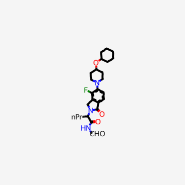 CCCC(C(=O)NC=O)N1Cc2c(ccc(N3CCC(OC4CCCCC4)CC3)c2F)C1=O